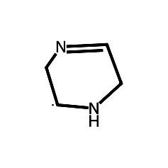 [CH]1CN=CCN1